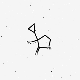 N#CC1(C2CC2)CCNC1=O